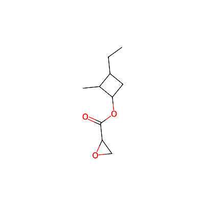 CCC1CC(OC(=O)C2CO2)C1C